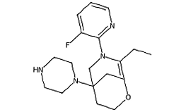 CCC1=C2CC(N3CCNCC3)(CCO2)CN1c1ncccc1F